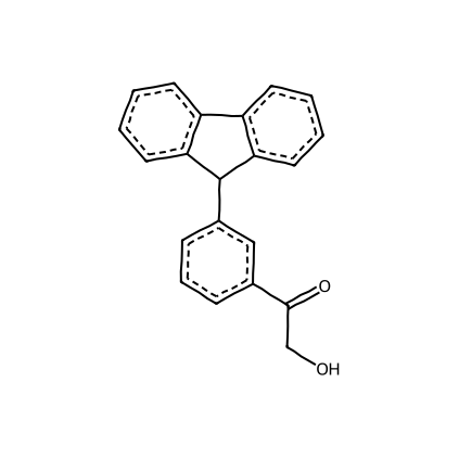 O=C(CO)c1cccc(C2c3ccccc3-c3ccccc32)c1